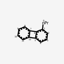 CCCc1cccc2c1-c1ccccc1-2